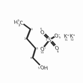 CCCCCO.O=S(=O)([O-])[O-].[K+].[K+]